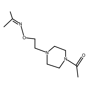 CC(=O)N1CCN(CCON=C(C)C)CC1